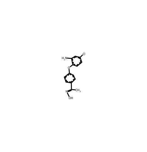 C/C(=N\O)c1ccc(Oc2ccc(Cl)cc2N)cc1